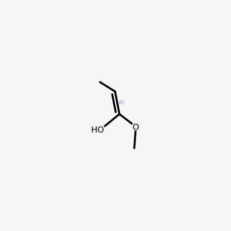 C/C=C(\O)OC